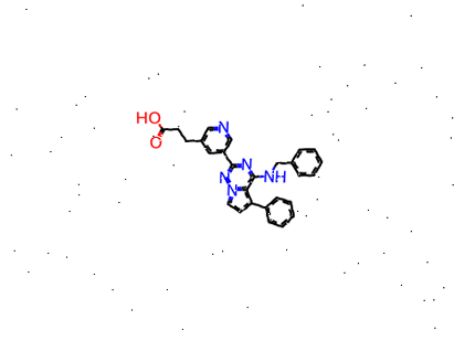 O=C(O)CCc1cncc(-c2nc(NCc3ccccc3)c3c(-c4ccccc4)ccn3n2)c1